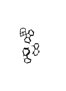 CC1(C)CCC(C)(C)c2c(N(c3ccc4c(c3)-c3ccccc3C43C4CC5CC6CC3C64C5)c3ccc4sc5ccccc5c4c3)cccc21